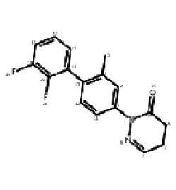 Cc1cc(N2N=CCCC2=O)ccc1-c1cccc(F)c1F